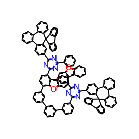 c1ccc(-c2nc(-c3ccc4c(c3)C3(c5ccccc5-c5ccccc5-4)c4ccccc4-c4ccccc43)nc(-c3ccc(-c4cccc(-c5cccc(-c6cccc(-c7nc(-c8ccc9c(c8)C8(c%10ccccc%10-c%10ccccc%10-9)c9ccccc9-c9ccccc98)nc(-c8cccc9oc%10ccccc%10c89)n7)c6)c5)c4)c4oc5ccccc5c34)n2)cc1